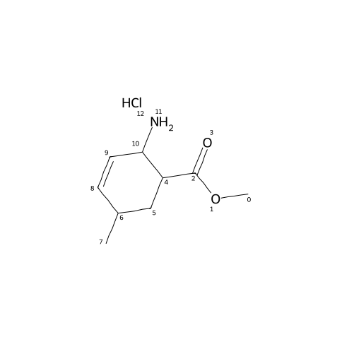 COC(=O)C1CC(C)C=CC1N.Cl